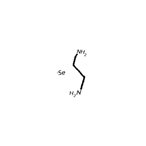 NCCN.[Se]